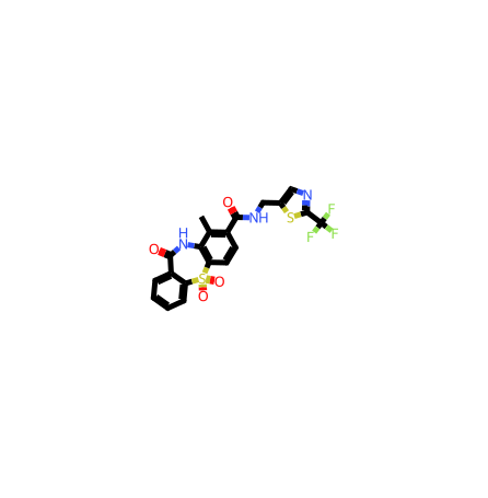 Cc1c(C(=O)NCc2cnc(C(F)(F)F)s2)ccc2c1NC(=O)c1ccccc1S2(=O)=O